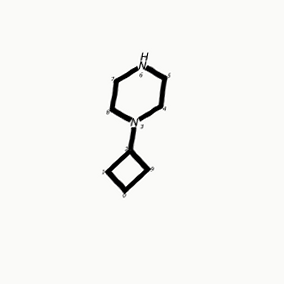 [CH]1CC(N2CCNCC2)C1